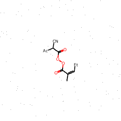 CCC=C(C)C(=O)OOC(=O)C(C#N)C(C)=O